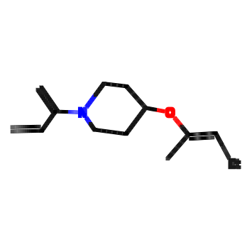 C=CC(=C)N1CCC(O/C(C)=C/CC)CC1